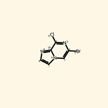 Clc1nc(Br)cn2ccnc12